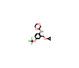 FC(F)(F)Oc1cc[c]([Sn][CH]2COCCO2)c(COC2CC2)c1